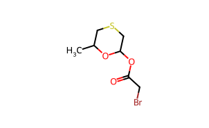 CC1CSCC(OC(=O)CBr)O1